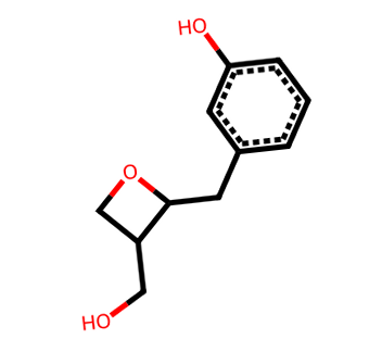 OCC1COC1Cc1cccc(O)c1